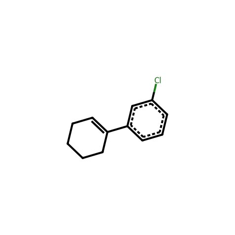 Clc1cccc(C2=CCCCC2)c1